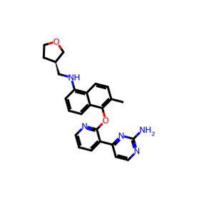 Cc1ccc2c(NC[C@H]3CCOC3)cccc2c1Oc1ncccc1-c1ccnc(N)n1